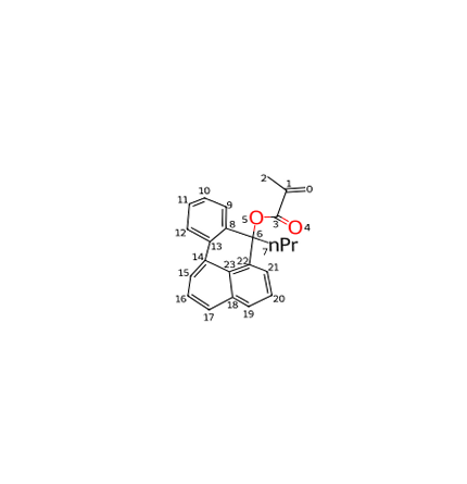 C=C(C)C(=O)OC1(CCC)c2ccccc2-c2cccc3cccc1c23